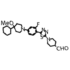 COC1(C2CCCCC2)CCN(c2ccc(-c3nnc(N4CCC(C=O)CC4)s3)c(F)c2)CC1